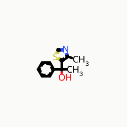 Cc1ncsc1C(C)(O)c1ccccc1